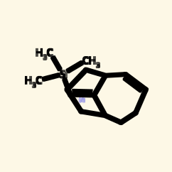 C[Si](C)(C)/C=C1\C2C=CCCC1CCC2